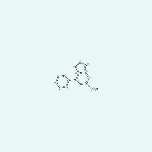 O=C(O)c1cc(-c2ccccc2)c2ccsc2c1